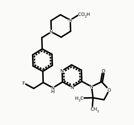 CC1(C)COC(=O)N1c1ccnc(NC(CF)c2ccc(CN3CCN(C(=O)O)CC3)cc2)n1